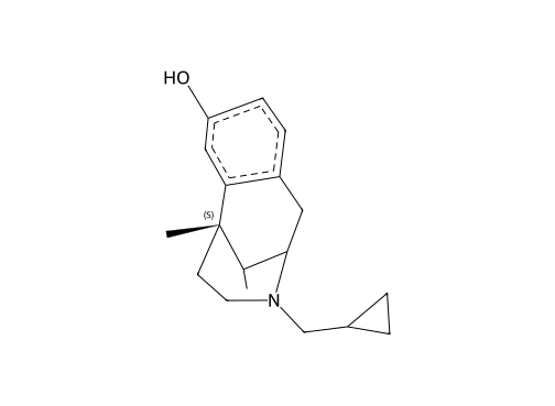 CC1C2Cc3ccc(O)cc3[C@@]1(C)CCN2CC1CC1